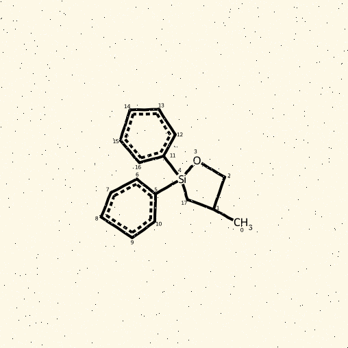 CC1CO[Si](c2ccccc2)(c2ccccc2)C1